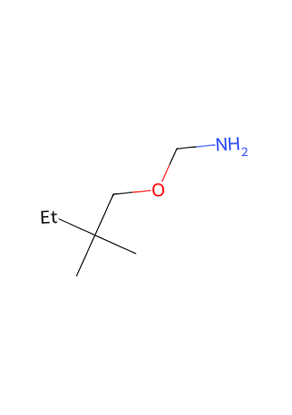 CCC(C)(C)COCN